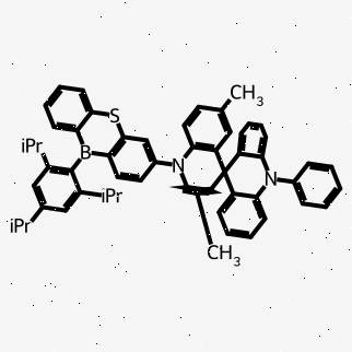 Cc1ccc2c(c1)C1(c3ccccc3N(c3ccccc3)c3ccccc31)c1cc(C)ccc1N2c1ccc2c(c1)Sc1ccccc1B2c1c(C(C)C)cc(C(C)C)cc1C(C)C